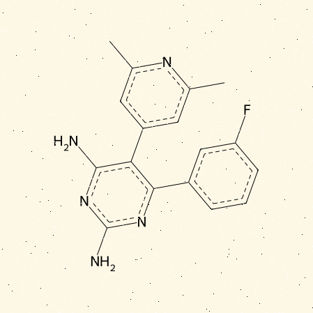 Cc1cc(-c2c(N)nc(N)nc2-c2cccc(F)c2)cc(C)n1